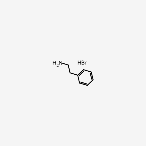 Br.NCCc1ccccc1